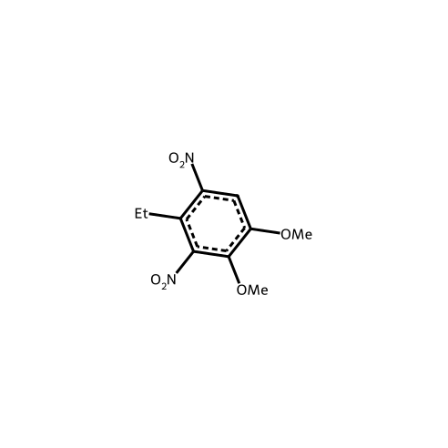 CCc1c([N+](=O)[O-])cc(OC)c(OC)c1[N+](=O)[O-]